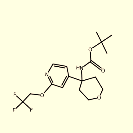 CC(C)(C)OC(=O)NC1(c2ccnc(OCC(F)(F)F)c2)CCOCC1